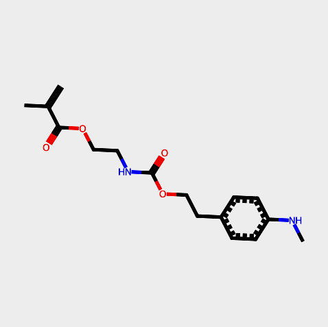 C=C(C)C(=O)OCCNC(=O)OCCc1ccc(NC)cc1